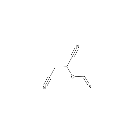 N#CCC(C#N)OC=S